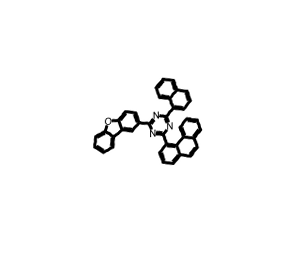 c1ccc2c(-c3nc(-c4ccc5oc6ccccc6c5c4)nc(-c4cccc5ccc6ccccc6c45)n3)cccc2c1